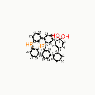 OC1(O)C=CC(c2ccccc2)=CC1.c1ccc(Pc2ccccc2)cc1.c1ccc(Pc2ccccc2)cc1